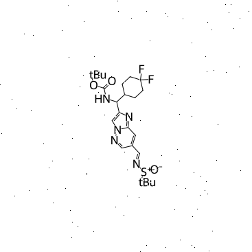 CC(C)(C)OC(=O)NC(c1cn2ncc(/C=N/[S+]([O-])C(C)(C)C)cc2n1)C1CCC(F)(F)CC1